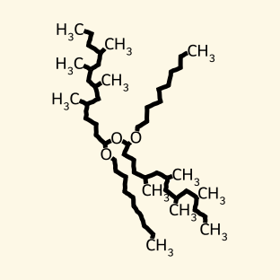 CCCCCCCCCCOC(CCCC(C)CC(C)CC(C)CC(C)CCC)OC(CCCC(C)CC(C)CC(C)CC(C)CCC)OCCCCCCCCCC